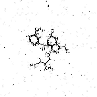 CCC(C)COn1nc(CCl)c2nc(Cl)nc(Nc3cc(C)ccn3)c21